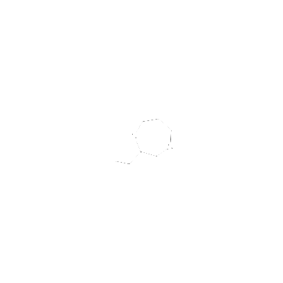 OCC1CNCCCN1